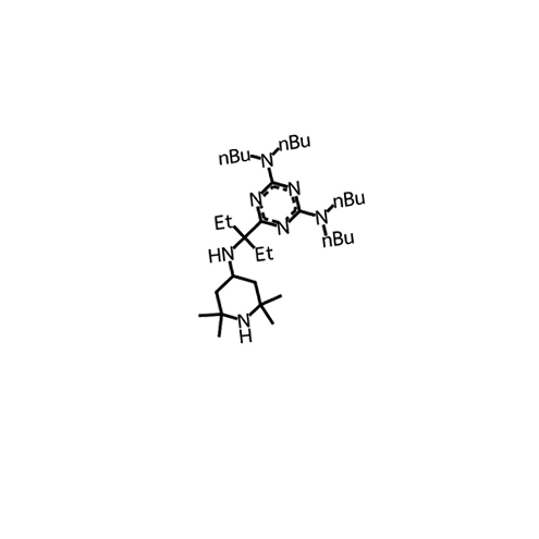 CCCCN(CCCC)c1nc(N(CCCC)CCCC)nc(C(CC)(CC)NC2CC(C)(C)NC(C)(C)C2)n1